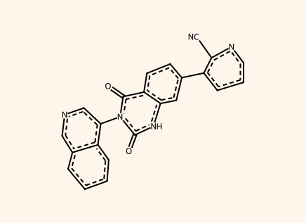 N#Cc1ncccc1-c1ccc2c(=O)n(-c3cncc4ccccc34)c(=O)[nH]c2c1